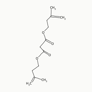 C=C(C)CCOC(=O)CC(=O)OCCC(=C)C